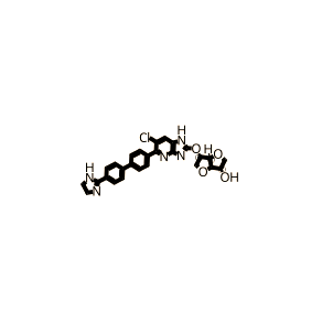 O[C@@H]1CO[C@H]2C1OC[C@H]2Oc1nc2nc(-c3ccc(-c4ccc(C5=NCCN5)cc4)cc3)c(Cl)cc2[nH]1